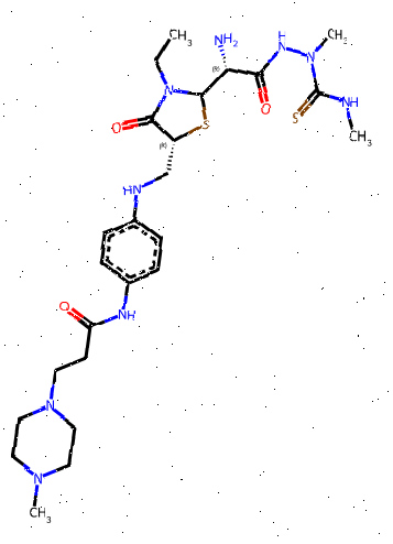 CCN1C(=O)[C@@H](CNc2ccc(NC(=O)CCN3CCN(C)CC3)cc2)SC1[C@H](N)C(=O)NN(C)C(=S)NC